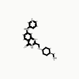 O=c1[nH]c(CS[C@H]2CC[C@H](CO)CC2)nc2cc(Nc3cccnc3)ccc12